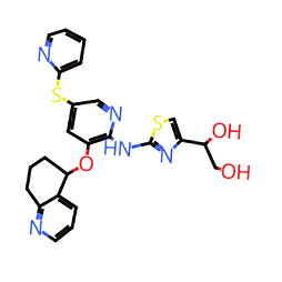 OCC(O)c1csc(Nc2ncc(Sc3ccccn3)cc2OC2CCCc3ncccc32)n1